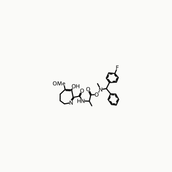 COC1=C(O)C(C(=O)NC(C)C(=O)ON(C)C(c2ccccc2)c2ccc(F)cc2)=NCCC1